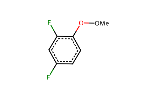 COOc1ccc(F)cc1F